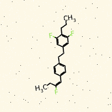 CCCc1c(F)cc(CCc2ccc(/C=C(/F)CC)cc2)cc1F